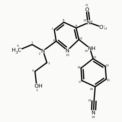 CCN(CCO)c1ccc([N+](=O)[O-])c(Nc2ccc(C#N)cc2)n1